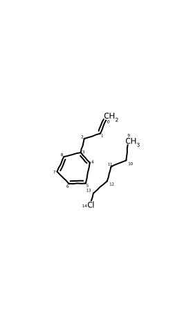 C=CCc1ccccc1.CCCCCCl